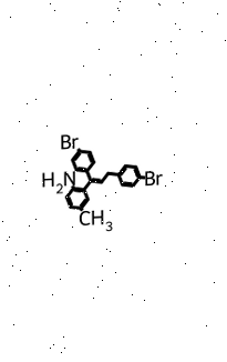 Cc1ccc(N)c(C(=CCc2ccc(Br)cc2)c2ccc(Br)cc2)c1